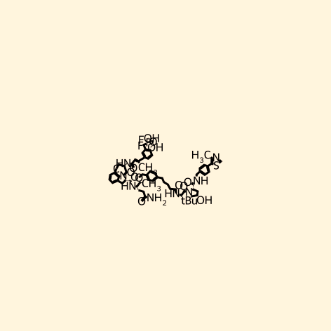 C/C(=C\C(=O)N[C@H]1CCc2cccc3c2N(C1=O)[C@H](C(=O)N[C@@H](CCC(N)=O)[C@@H](C)OCc1ccc(CCCCC(=O)N[C@H](C(=O)N2C[C@H](O)C[C@H]2C(=O)NCc2ccc(-c4scnc4C)cc2)C(C)(C)C)cc1)C3)c1cccc(C(F)(F)P(=O)(O)O)c1